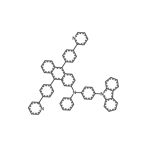 c1ccc(N(c2ccc(-n3c4ccccc4c4ccccc43)cc2)c2ccc3c(-c4ccc(-c5ccccn5)cc4)c4ccccc4c(-c4ccc(-c5ccccn5)cc4)c3c2)cc1